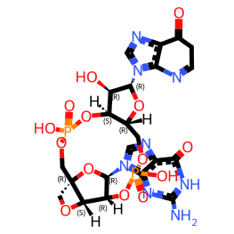 Nc1nc2c(ncn2[C@@H]2O[C@@]34CO[C@H]3[C@H]2OP(=O)(O)OC[C@H]2O[C@@H](n3cnc5c3N=CCC5=O)[C@H](O)[C@@H]2OP(=O)(O)OC4)c(=O)[nH]1